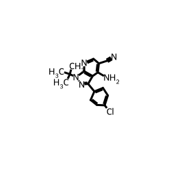 CC(C)(C)n1nc(-c2ccc(Cl)cc2)c2c(N)c(C#N)cnc21